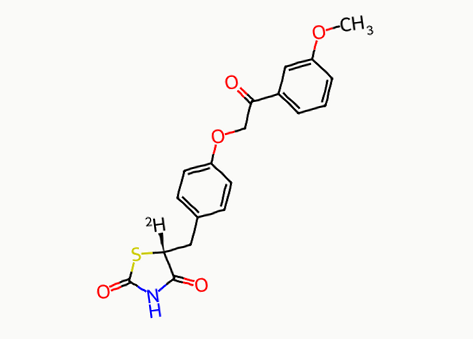 [2H][C@]1(Cc2ccc(OCC(=O)c3cccc(OC)c3)cc2)SC(=O)NC1=O